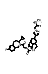 CNC(=O)Cn1cc(-c2ccc3c(c2)CC[C@@]32NC(=O)N(CC(=O)N3Cc4ccc(F)cc4CCC3C3CC3)C2=O)cn1